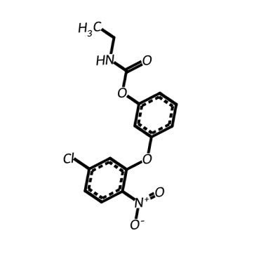 CCNC(=O)Oc1cccc(Oc2cc(Cl)ccc2[N+](=O)[O-])c1